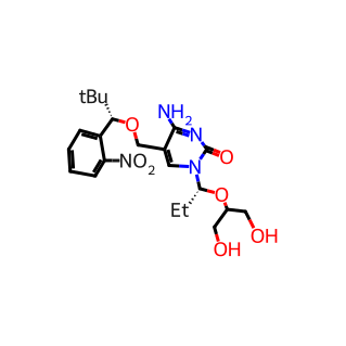 CC[C@@H](OC(CO)CO)n1cc(CO[C@H](c2ccccc2[N+](=O)[O-])C(C)(C)C)c(N)nc1=O